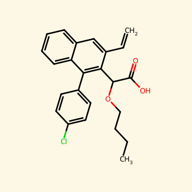 C=Cc1cc2ccccc2c(-c2ccc(Cl)cc2)c1C(OCCCC)C(=O)O